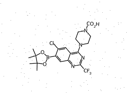 CC1(C)OB(c2cc3nc(C(F)(F)F)nc(N4CCN(C(=O)O)CC4)c3cc2Cl)OC1(C)C